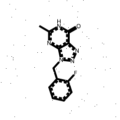 Cc1nc2c(nnn2Cc2ccccc2F)c(=O)[nH]1